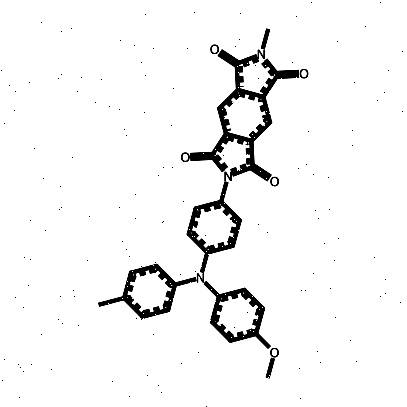 COc1ccc(N(c2ccc(C)cc2)c2ccc(-n3c(=O)c4cc5c(=O)n(C)c(=O)c5cc4c3=O)cc2)cc1